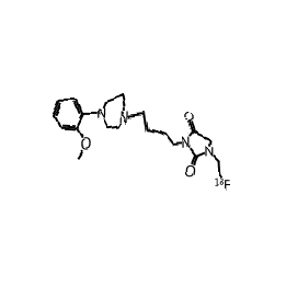 COc1ccccc1N1CCN(CCCCN2C(=O)CN(CC[18F])C2=O)CC1